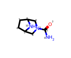 NC(=O)N1CC2CCC(C1)N2